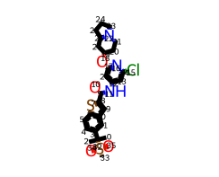 CC(C)(c1ccc2sc(C(=O)Nc3cc(Cl)nc(OC4CCN5CCCC5C4)c3)cc2c1)S(C)(=O)=O